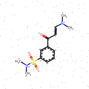 CN(C)/C=C/C(=O)c1cccc(S(=O)(=O)N(C)C)c1